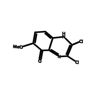 COc1ccc2[nH]c(Cl)c(Cl)nc-2c1=O